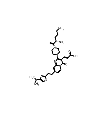 CC(C)c1csc(CCc2ccn3c(=O)c(C=CC(=O)O)c(N4CCN(C(=O)[C@@H](N)CCCN)CC4)nc3c2)n1